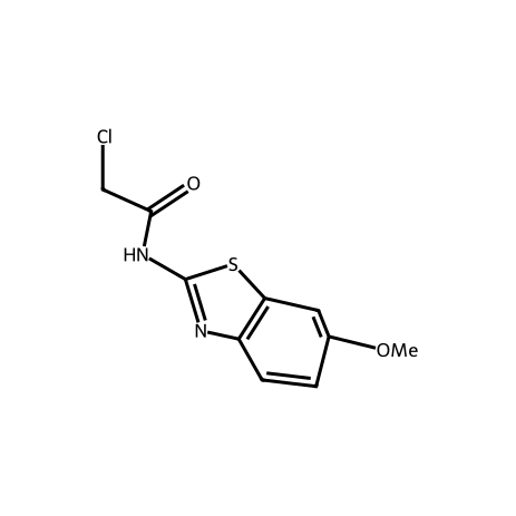 COc1ccc2nc(NC(=O)CCl)sc2c1